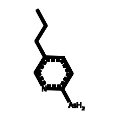 CCCc1ccc([AsH2])nc1